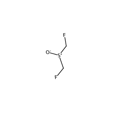 [O-][S+](CF)CF